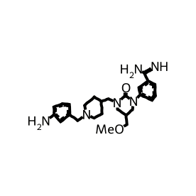 COCC1CN(CC2CCN(Cc3cccc(N)c3)CC2)C(=O)N(c2cccc(C(=N)N)c2)C1